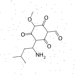 COC1C(=O)C(C=O)C(=O)C(C(N)CC(C)C)C1=O